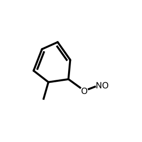 CC1C=CC=CC1ON=O